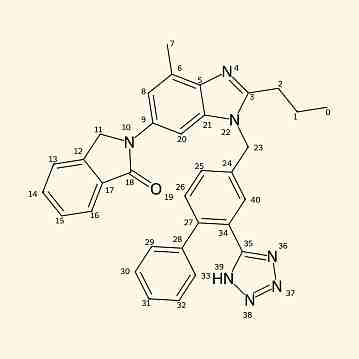 CCCc1nc2c(C)cc(N3Cc4ccccc4C3=O)cc2n1Cc1ccc(-c2ccccc2)c(-c2nnn[nH]2)c1